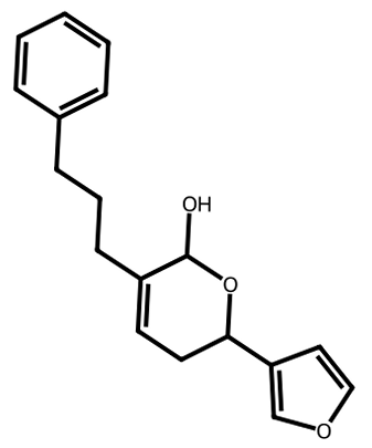 OC1OC(c2ccoc2)CC=C1CCCc1ccccc1